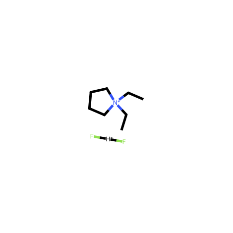 CC[N+]1(CC)CCCC1.F[H-]F